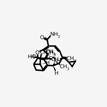 C=C1/C=C\C(C(N)=O)=C2/C[C@]34CC[N@+](C)(CC5CC5)[C@H](C1)C3=C1CC([C@H]1C(C)(O)C(C)(C)C)[C@@H]4O2